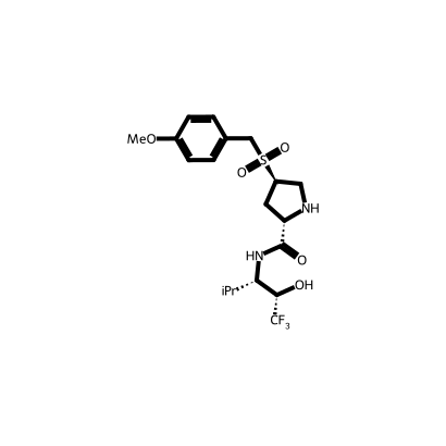 COc1ccc(CS(=O)(=O)[C@H]2CN[C@H](C(=O)N[C@@H](C(C)C)[C@H](O)C(F)(F)F)C2)cc1